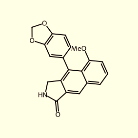 COc1cccc2cc3c(c(-c4ccc5c(c4)OCO5)c12)CNC3=O